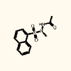 [CH2]N(NC(C)=O)S(=O)(=O)c1cccc2ccccc12